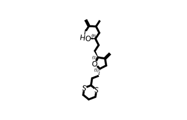 C=C(I)C(C)C[C@H](O)CC[C@@H]1O[C@@H](CCC2SCCCS2)CC1=C